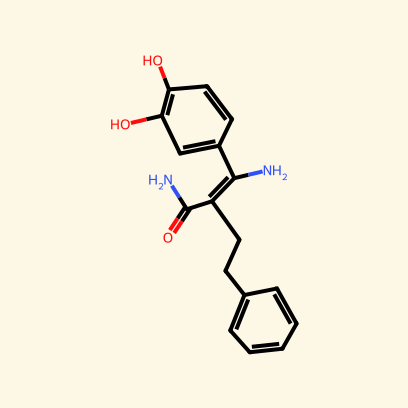 NC(=O)C(CCc1ccccc1)=C(N)c1ccc(O)c(O)c1